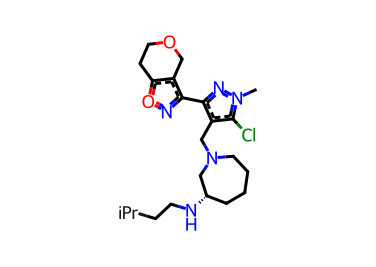 CC(C)CCN[C@H]1CCCCN(Cc2c(-c3noc4c3COCC4)nn(C)c2Cl)C1